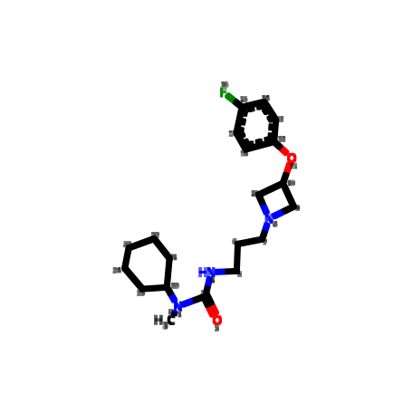 CN(C(=O)NCCCN1CC(Oc2ccc(F)cc2)C1)C1CCCCC1